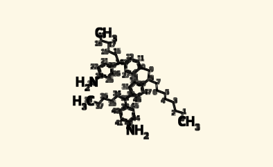 CCCCCCCCC(Cc1ccc(C(CCCCC)c2ccc(N)cc2)cc1)c1ccc(C(CCCCC)c2ccc(N)cc2)cc1